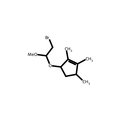 COC(CBr)OC1CC(C)C(C)=C1C